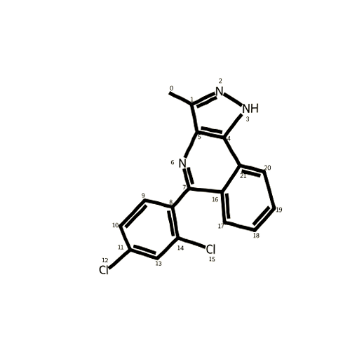 Cc1n[nH]c2c1nc(-c1ccc(Cl)cc1Cl)c1ccccc12